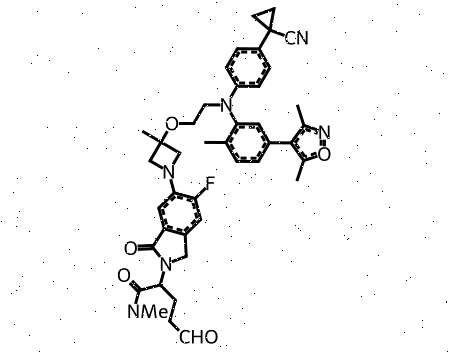 CNC(=O)C(CCC=O)N1Cc2cc(F)c(N3CC(C)(OCCN(c4ccc(C5(C#N)CC5)cc4)c4cc(-c5c(C)noc5C)ccc4C)C3)cc2C1=O